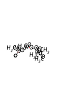 COc1cc(C)c(S(=O)(=O)N2CCCC(COCC(=O)N(C)CC3CCC(CCc4ccccc4)(N4CCN(C)CC4)CC3)C2)c(C)c1